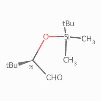 [CH2]C(C)(C)[C@H](C=O)O[Si](C)(C)C(C)(C)C